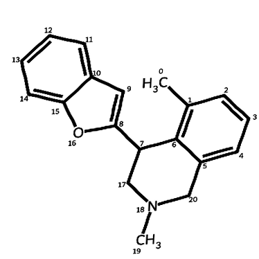 Cc1cccc2c1C(c1cc3ccccc3o1)CN(C)C2